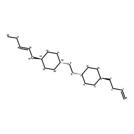 C=CCC[C@H]1CC[C@H](CC[C@H]2CC[C@H](OC=CCC)CC2)CC1